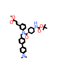 COC(=O)/C=C/c1cccc(N(Cc2ccc(-c3ccc(N(C)C)cc3)cc2)C(=O)[C@H]2CC[C@H](NC(=O)OC(C)(C)C)CC2)c1